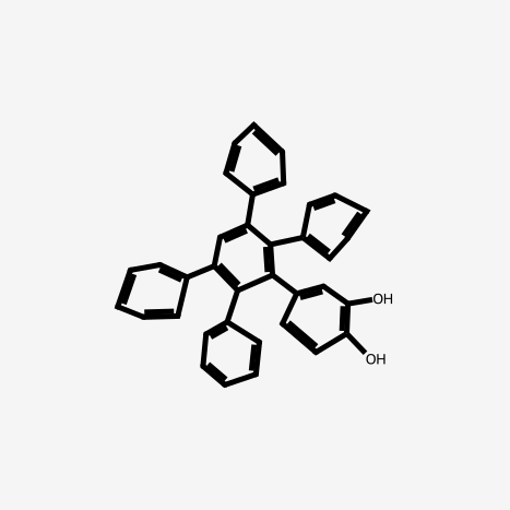 Oc1ccc(-c2c(-c3ccccc3)c(-c3ccccc3)cc(-c3ccccc3)c2-c2ccccc2)cc1O